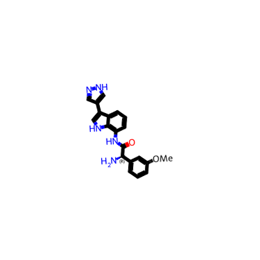 COc1cccc([C@@H](N)C(=O)Nc2cccc3c(-c4cn[nH]c4)c[nH]c23)c1